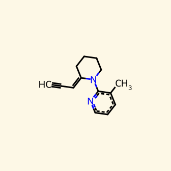 C#CC=C1CCCCN1c1ncccc1C